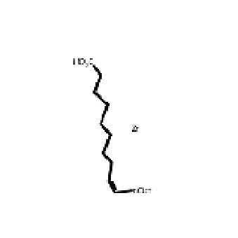 CCCCCCCC/C=C\CCCCCCCC(=O)O.[Zr]